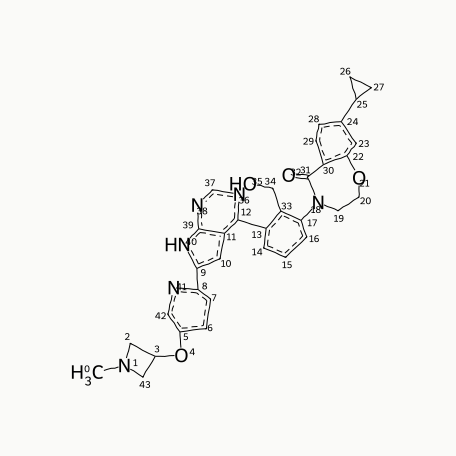 CN1CC(Oc2ccc(-c3cc4c(-c5cccc(N6CCOc7cc(C8CC8)ccc7C6=O)c5CO)ncnc4[nH]3)nc2)C1